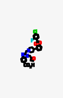 O=C(O)c1ccc2nc(CN3CCC(c4cccc5c4O[C@@H](c4ccc(Cl)cc4F)O5)CC3)n(CC3CCO3)c2c1